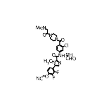 CNCC(=O)N1CCN(C(=O)c2ccc(NC(=O)c3ncc(-c4ccc(OCC#N)c(F)c4F)n3C)cc2Cl)CC1.O=CO